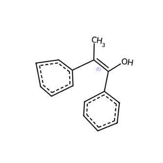 C/C(=C(\O)c1ccccc1)c1ccccc1